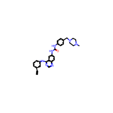 C#Cc1cccc(Nc2ncnc3ccc(NC(=O)Nc4ccc(CN5CCN(C)CC5)cc4)cc23)c1